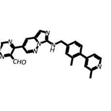 Cc1cc(-c2ccc(CNc3ncc4cc(-c5nccnc5C=O)cnn34)cc2C)ccn1